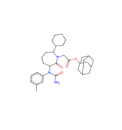 Cc1cccc(N(C(N)=O)C2CCCC(C3CCCCC3)N(CC(=O)OC34CC5CC(CC(C5)C3)C4)C2=O)c1